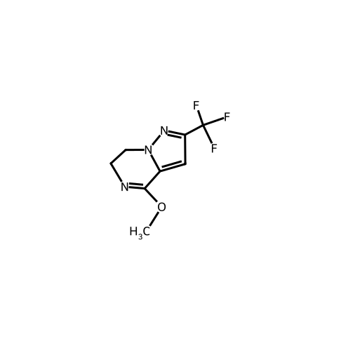 COC1=NCCn2nc(C(F)(F)F)cc21